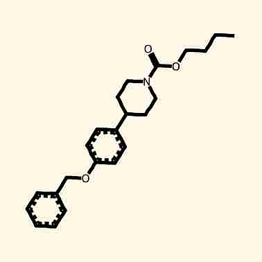 CCCCOC(=O)N1CCC(c2ccc(OCc3ccccc3)cc2)CC1